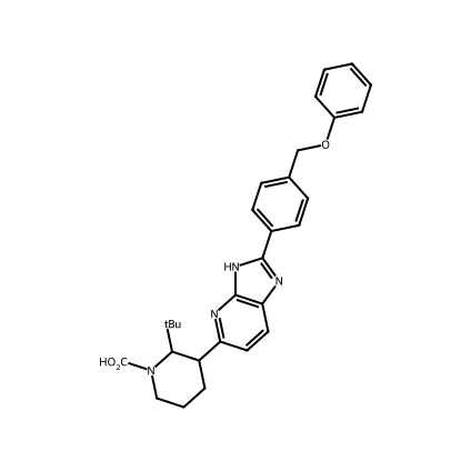 CC(C)(C)C1C(c2ccc3nc(-c4ccc(COc5ccccc5)cc4)[nH]c3n2)CCCN1C(=O)O